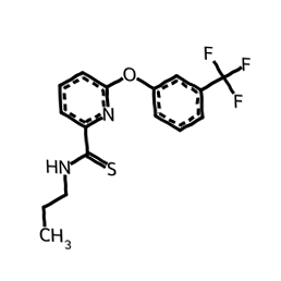 CCCNC(=S)c1cccc(Oc2cccc(C(F)(F)F)c2)n1